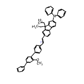 CCC1(CC)c2cc(/C=C/c3ccc(-c4ccc(-c5ccccc5)cc4OC)cc3)ccc2-c2ccc(N(c3ccccc3)c3ccccc3)cc21